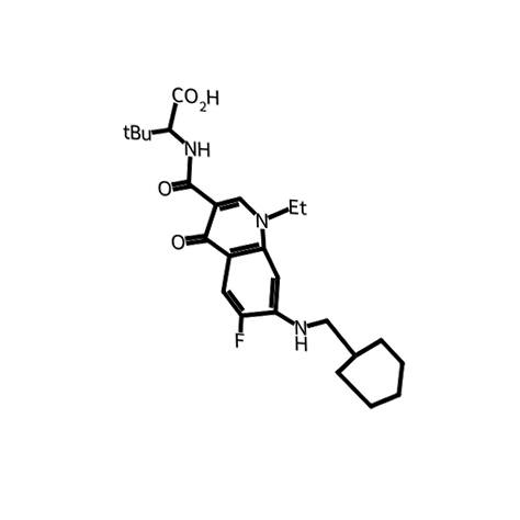 CCn1cc(C(=O)NC(C(=O)O)C(C)(C)C)c(=O)c2cc(F)c(NCC3CCCCC3)cc21